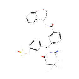 CCC1(CC)CC(=O)N([C@H](c2cccc(OS(=O)(=O)F)c2)c2cccc(C(=O)N[C@H]3CCOc4ccccc43)c2)C(=N)N1